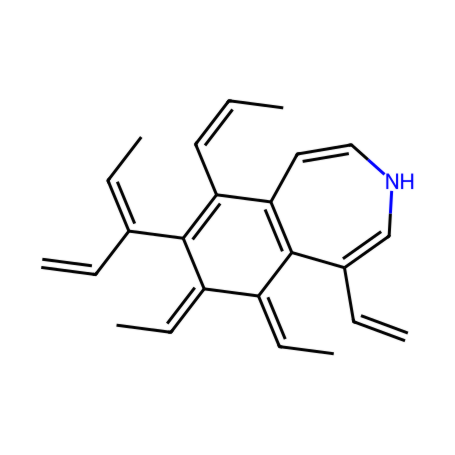 C=CC1=CNC=Cc2c(/C=C\C)c(/C(C=C)=C\C)c(=C\C)/c(=C/C)c21